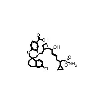 NS(=O)(=O)CC(C/C=C/[C@H](O)[C@@H]1CCC1CN1C[C@@]2(CCCc3cc(Cl)ccc32)COc2ccc(C(=O)O)cc21)C1CC1